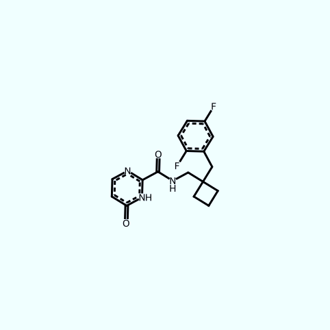 O=C(NCC1(Cc2cc(F)ccc2F)CCC1)c1nccc(=O)[nH]1